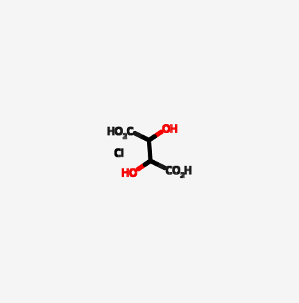 O=C(O)C(O)C(O)C(=O)O.[C]